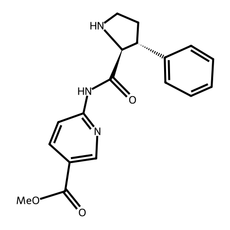 COC(=O)c1ccc(NC(=O)[C@H]2NCC[C@@H]2c2ccccc2)nc1